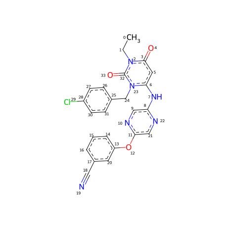 CCn1c(=O)cc(Nc2cnc(Oc3cccc(C#N)c3)cn2)n(Cc2ccc(Cl)cc2)c1=O